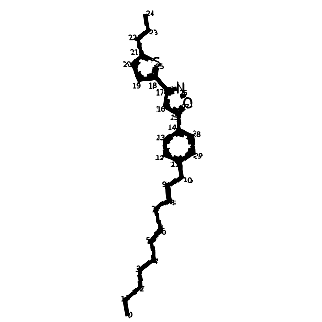 CCCCCCCCCCCc1ccc(-c2cc(-c3ccc(CCC)s3)no2)cc1